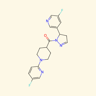 O=C(C1CCN(c2ccc(F)cn2)CC1)N1N=CCC1c1cncc(F)c1